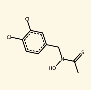 CC(=S)N(O)Cc1ccc(Cl)c(Cl)c1